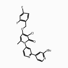 Cc1cc(OCc2ccc(F)cc2F)c(Cl)c(=O)n1-c1ccnc(-c2ccnc(C(C)(C)C)c2)c1